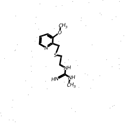 CNC(=N)NCCSCc1ncccc1OC